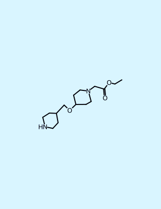 CCOC(=O)CN1CCC(OCC2CCNCC2)CC1